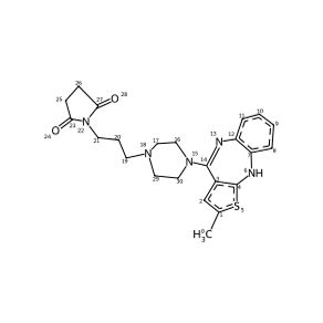 Cc1cc2c(s1)Nc1ccccc1N=C2N1CCN(CCCN2C(=O)CCC2=O)CC1